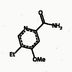 CCc1cnc(C(N)=O)cc1OC